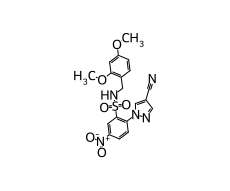 COc1ccc(CNS(=O)(=O)c2cc([N+](=O)[O-])ccc2-n2cc(C#N)cn2)c(OC)c1